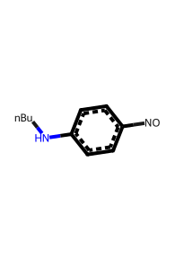 CCCCNc1ccc(N=O)cc1